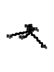 CCCCCCCCCC[N+](CCC[SiH3])(CCCCCCCCCC)C(OC)(OC)OC.[Cl-]